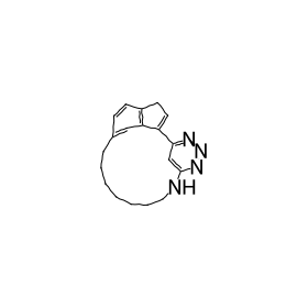 C1=C2c3cc(nnn3)NCCCCCCCc3ccc(c2c3)C1